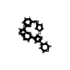 c1cc(NC2CCNC2)nc(-c2cnc3ccc(-c4cnn(C5CCOCC5)c4)nn23)c1